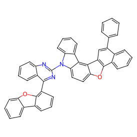 c1ccc(-c2cc3c(oc4ccc5c(c6ccccc6n5-c5nc(-c6cccc7c6oc6ccccc67)c6ccccc6n5)c43)c3ccccc23)cc1